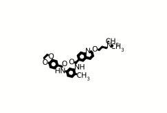 Cc1ccc(NC(=O)c2ccc3c(c2)OCCO3)cc1NC(=O)c1ccc2nc(OCCCN(C)C)ccc2c1